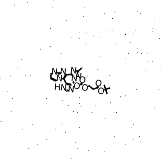 Cc1nc(-c2nc3ncccn3c2-c2cnc[nH]2)n(COC(=O)OCCC(=O)OC(C)(C)C)n1